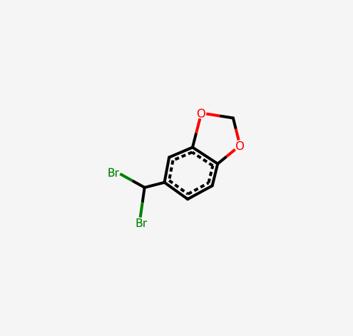 BrC(Br)c1ccc2c(c1)OCO2